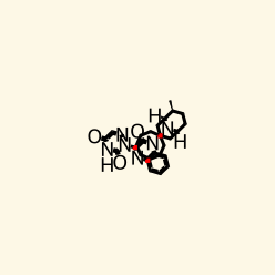 C[C@H]1CC[C@@H]2C[C@H](n3c(=O)c(-n4ncc(=O)[nH]c4=O)nc4ccccc43)C[C@H]1N2C1CCCCCCC1